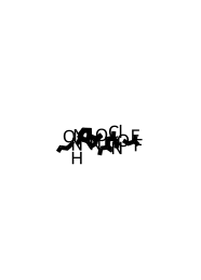 CCCC(=O)Nc1nccc2c1CN(C(C)c1cnc(OCC(F)F)c(Cl)c1)C2=O